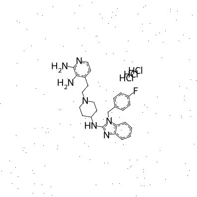 Cl.Cl.Cl.Nc1nccc(CCN2CCC(Nc3nc4ccccc4n3Cc3ccc(F)cc3)CC2)c1N